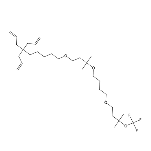 C=CCC(CC=C)(CC=C)CCCCCOCCC(C)(C)OCCCCOCCC(C)(C)OC(F)(F)F